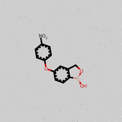 O=[N+]([O-])c1ccc(Oc2ccc3c(c2)COB3O)cc1